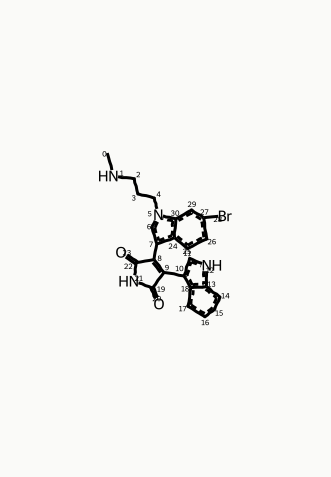 CNCCCn1cc(C2=C(c3c[nH]c4ccccc34)C(=O)NC2=O)c2ccc(Br)cc21